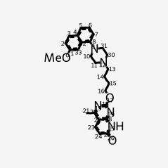 COc1ccc2cccc(N3CCN(CCCCOc4nc(C)c5ccc(=O)[nH]c5n4)CC3)c2c1